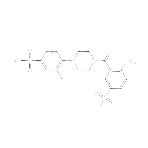 CCS(=O)(=O)c1ccc(N2CCN(C(=O)c3cc(S(C)(=O)=O)ccc3OCC(C)C)CC2)c(F)c1